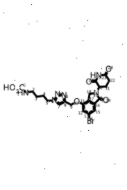 O=C(O)NCCCCn1cc(COc2cc(Br)cc3c2CN(C2CCC(=O)NC2=O)C3=O)nn1